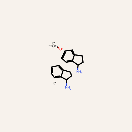 NC1CCc2ccccc21.NC1CCc2ccccc21.O=C([O-])[O-].[K+].[K+]